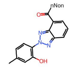 CCCCCCCCCC(=O)c1cccc2nn(-c3ccc(C)cc3O)nc12